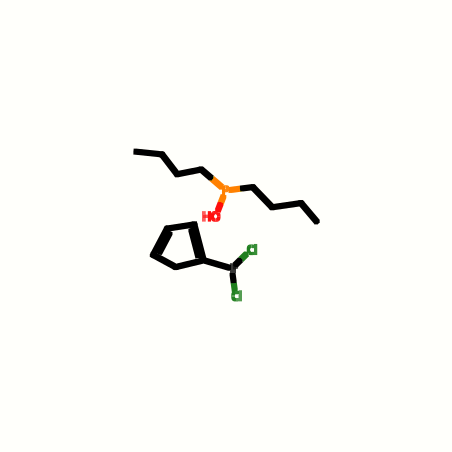 CCCCP(O)CCCC.[Cl][Ir]([Cl])[C]1=CC=CC1